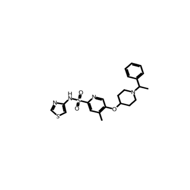 Cc1cc(S(=O)(=O)Nc2cscn2)ncc1OC1CCN(C(C)c2ccccc2)CC1